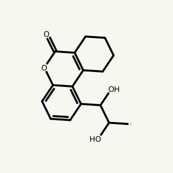 [CH2]C(O)C(O)c1cccc2oc(=O)c3c(c12)CCCC3